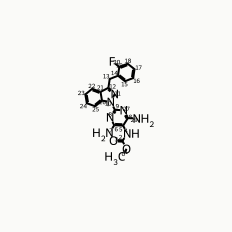 COC(=O)Nc1c(N)nc(-n2nc(Cc3ccccc3F)c3ccccc32)nc1N